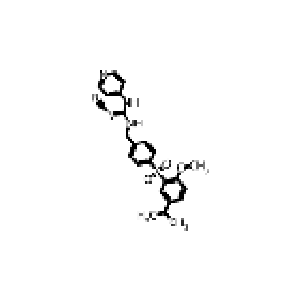 COc1ccc(C(C)C)cc1S(=O)(=O)c1ccc(CNC(=NC#N)Nc2ccncc2)cc1